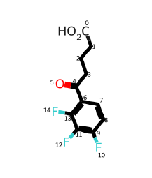 O=C(O)CCCC(=O)c1ccc(F)c(F)c1F